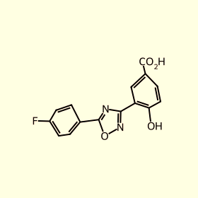 O=C(O)c1ccc(O)c(-c2noc(-c3ccc(F)cc3)n2)c1